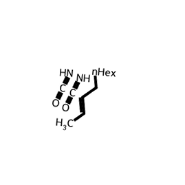 CC=CCCCCCCC.N=C=O.N=C=O